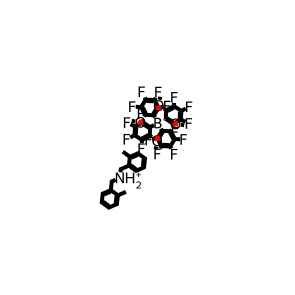 COc1c(F)c(F)c(F)c(F)c1[B-](c1c(F)c(F)c(F)c(F)c1OC)(c1c(F)c(F)c(F)c(F)c1OC)c1c(F)c(F)c(F)c(F)c1OC.Cc1ccccc1C[NH2+]Cc1ccccc1C